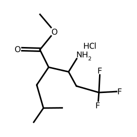 COC(=O)C(CC(C)C)C(N)CC(F)(F)F.Cl